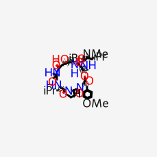 CC[C@H](C)[C@H]1NC(=O)[C@@H](NC(=O)[C@@H](CC(C)C)NC)[C@@H](C)OC(=O)[C@H](Cc2ccc(OC)cc2)N(C)C(=O)[C@@H]2CCCN2C(=O)[C@H](CC(C)C)NC(=O)C(C)(C)NC(=O)C[C@@H]1O